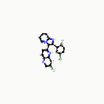 Fc1ccc(Cl)cc1-c1nc2ccccn2c1-c1ccc2ncc(Br)cc2n1